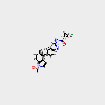 CC(=O)n1ccc2c(-c3ccc4nc(NC(=O)[C@@H]5C[C@@H]5F)sc4c3)c(C)ccc21